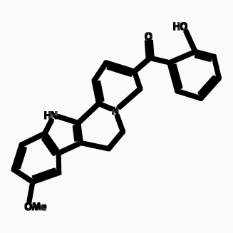 COc1ccc2[nH]c3c(c2c1)CCN1CC(C(=O)c2ccccc2O)=CC=C31